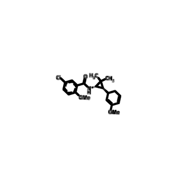 COC1=CC([C@H]2[C@H](NC(=O)c3cc(Cl)ccc3OC)C2(C)C)CC=C1